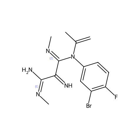 C=C(C)N(/C(=N\C)C(=N)/C(N)=N\C)c1ccc(F)c(Br)c1